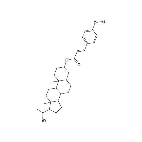 CCOc1ccc(/C=C/C(=O)OC2CCC3(C)C(CCC4C3CCC3(C)C(C(C)C(C)C)CCC43)C2)cc1